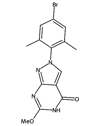 COc1nc2nn(-c3c(C)cc(Br)cc3C)cc2c(=O)[nH]1